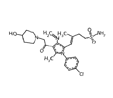 C=Nc1c(C(=O)CN2CCC(O)CC2)c(C)n(-c2ccc(Cl)cc2)c1/C=C(\C)CCS(N)(=O)=O